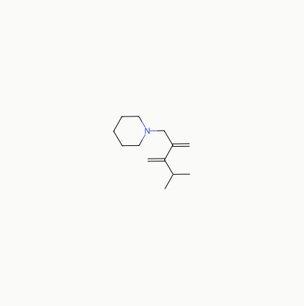 C=C(CN1CCCCC1)C(=C)C(C)C